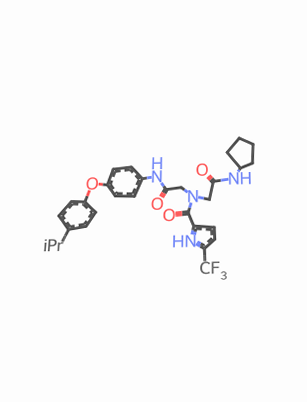 CC(C)c1ccc(Oc2ccc(NC(=O)CN(CC(=O)NC3CCCC3)C(=O)c3ccc(C(F)(F)F)[nH]3)cc2)cc1